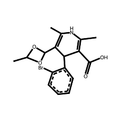 CC1=C(C(=O)O)C(c2ccccc2Br)C(C2OC(C)O2)=C(C)N1